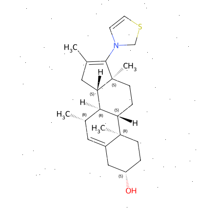 CC1=C(N2C=CSC2)[C@@]2(C)CC[C@H]3[C@@H]([C@@H](C)C=C4C[C@@H](O)CC[C@@]43C)[C@@H]2C1